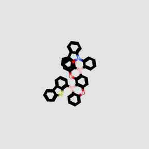 c1ccc2c(c1)Oc1c(ccc3c1B(c1cccc4c1sc1ccccc14)c1ccccc1O3)B2c1ccccc1-n1c2ccccc2c2ccccc21